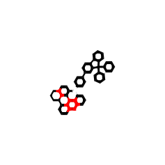 c1ccc(C2(c3ccccc3)c3ccccc3-c3ccc(-c4ccc(N(c5ccccc5-c5cccc6cccc(C7CCCCC7)c56)c5cccc6ccccc56)cc4)cc32)cc1